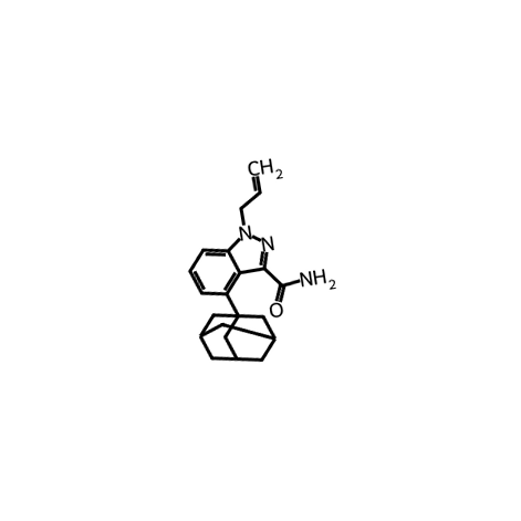 C=CCn1nc(C(N)=O)c2c(C34CC5CC(CC(C5)C3)C4)cccc21